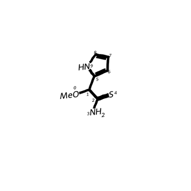 COC(C(N)=S)c1ccc[nH]1